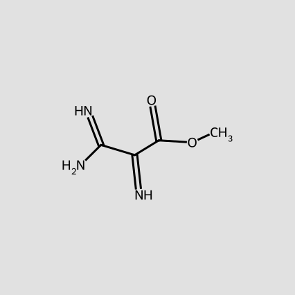 COC(=O)C(=N)C(=N)N